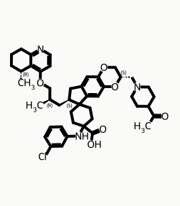 CC(=O)C1CCN(C[C@H]2COc3cc4c(cc3O2)C2(CCC(Nc3cccc(Cl)c3)(C(=O)O)CC2)[C@@H](C[C@@H](C)COc2ccnc3c2[C@H](C)CCC3)C4)CC1